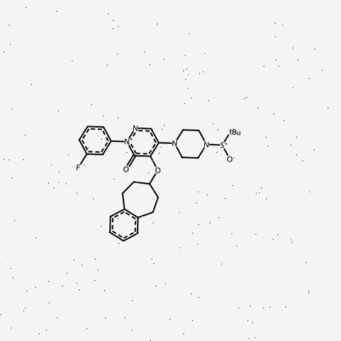 CC(C)(C)[S+]([O-])N1CCN(c2cnn(-c3cccc(F)c3)c(=O)c2OC2CCc3ccccc3CC2)CC1